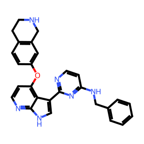 c1ccc(CNc2ccnc(-c3c[nH]c4nccc(Oc5ccc6c(c5)CNCC6)c34)n2)cc1